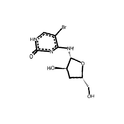 O=c1nc(N[C@@H]2O[C@H](CO)C[C@H]2O)c(Br)c[nH]1